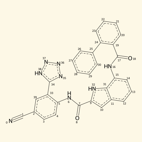 N#Cc1ccc(NC(=O)c2cc3cccc(NC(=O)c4ccccc4-c4ccccc4)c3[nH]2)c(-c2nnn[nH]2)c1